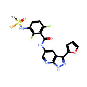 CCC[SH](=O)(P)Nc1ccc(F)c(C(=O)Nc2cnc3[nH]nc(-c4ccco4)c3c2)c1F